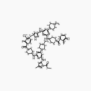 CCC(=O)n1nc(C)cc1Nc1cc(N2CCN(CC)CC2)nc(NC2CCN(C(=O)c3ccc(Cc4cc(Nc5cc(N6CCN(CC)CC6)nc(NC6CCN(C(=O)c7cccc(Cl)c7F)CC6)n5)n[nH]4)c(Cl)c3F)CC2)n1